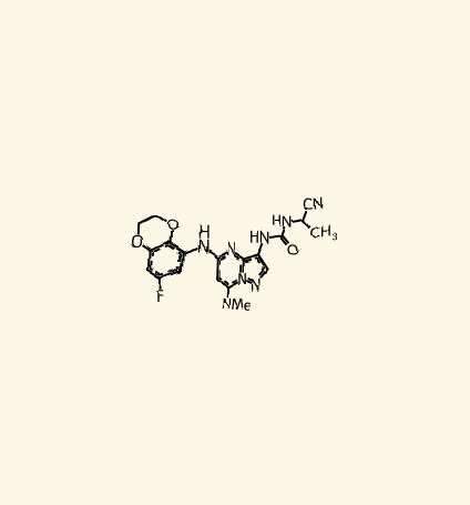 CNc1cc(Nc2cc(F)cc3c2OCCO3)nc2c(NC(=O)NC(C)C#N)cnn12